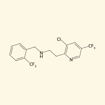 FC(F)(F)c1cnc(CCNCc2ccccc2C(F)(F)F)c(Cl)c1